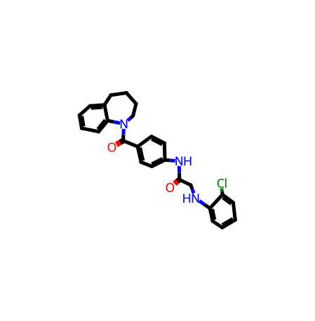 O=C(CNc1ccccc1Cl)Nc1ccc(C(=O)N2CCCCc3ccccc32)cc1